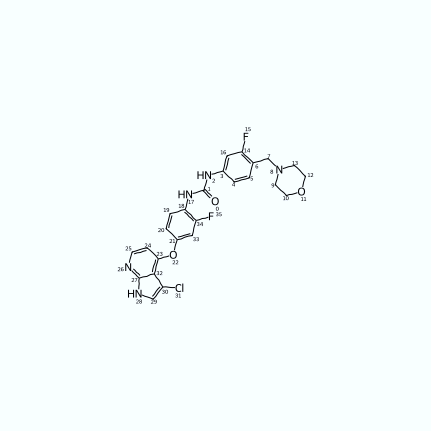 O=C(Nc1ccc(CN2CCOCC2)c(F)c1)Nc1ccc(Oc2ccnc3[nH]cc(Cl)c23)cc1F